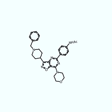 CC(=O)Nc1ccc(-c2nc(N3CCOCC3)c3onc(C4CCN(Cc5ccccc5)CC4)c3n2)cc1